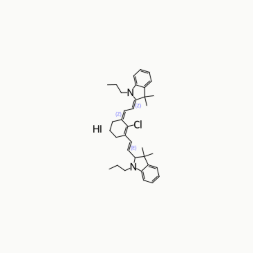 CCCN1/C(=C\C=C2\CCCC(/C=C/C3N(CCC)c4ccccc4C3(C)C)=C2Cl)C(C)(C)c2ccccc21.I